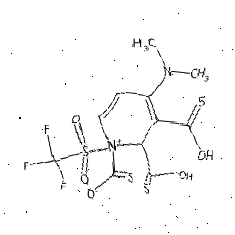 CN(C)C1=C(C(O)=S)C(C(O)=S)[N+](C([O-])=S)(S(=O)(=O)C(F)(F)F)C=C1